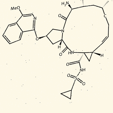 CC[C@@H]1C[C@H](C)CC/C=C\[C@@H]2C[C@@]2(C(=O)NS(=O)(=O)C2CC2)NC(=O)[C@@H]2C[C@@H](Oc3ncc(OC)c4ccccc34)CN2C(=O)[C@H]1N